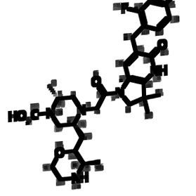 C[C@@H]1CN(CC(=O)N2CC(C)(C)c3[nH]c(=O)c(Cc4ccc(F)cc4F)cc32)[C@@H](CC2OCCN[C@@H]2C)CN1C(=O)O